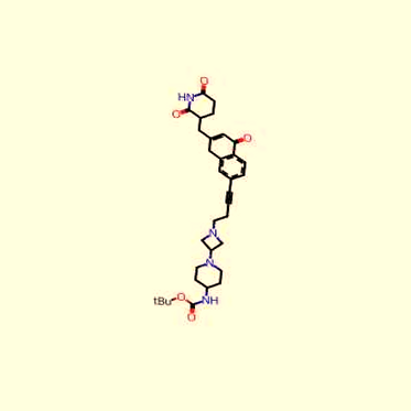 CC(C)(C)OC(=O)NC1CCN(C2CN(CCC#Cc3ccc4c(c3)CC(CC3CCC(=O)NC3=O)=CC4=O)C2)CC1